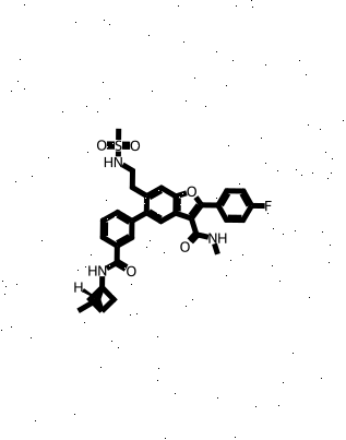 CNC(=O)c1c(-c2ccc(F)cc2)oc2cc(CCNS(C)(=O)=O)c(-c3cccc(C(=O)NC45CC(C4)[C@@H]5C)c3)cc12